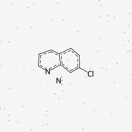 Clc1ccc2cccnc2c1.[N]